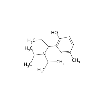 CCC(c1cc(C)ccc1O)N(C(C)C)C(C)C